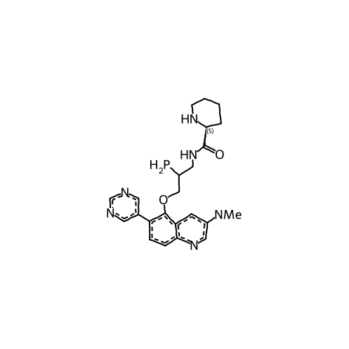 CNc1cnc2ccc(-c3cncnc3)c(OCC(P)CNC(=O)[C@@H]3CCCCN3)c2c1